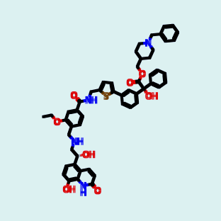 CCOc1cc(C(=O)NCc2ccc(-c3cccc([C@](O)(C(=O)OCC4CCN(Cc5ccccc5)CC4)c4ccccc4)c3)s2)ccc1CNC[C@H](O)c1ccc(O)c2[nH]c(=O)ccc12